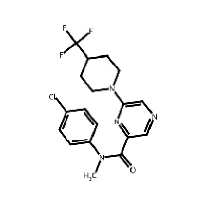 CN(C(=O)c1cncc(N2CCC(C(F)(F)F)CC2)n1)c1ccc(Cl)cc1